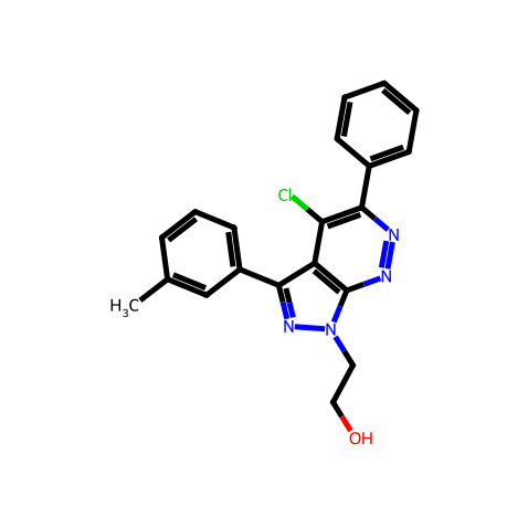 Cc1cccc(-c2nn(CCO)c3nnc(-c4ccccc4)c(Cl)c23)c1